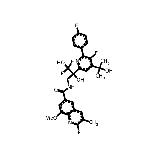 COc1cc(C(=O)NCC(O)(c2cc(C(C)(C)O)c(F)c(-c3ccc(F)cc3)n2)C(O)(F)F)cc2cc(C)c(F)nc12